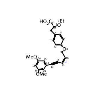 CCO[C@@H](Cc1ccc(OC/C=C\C#Cc2cc(OC)cc(OC)c2)cc1)C(=O)O